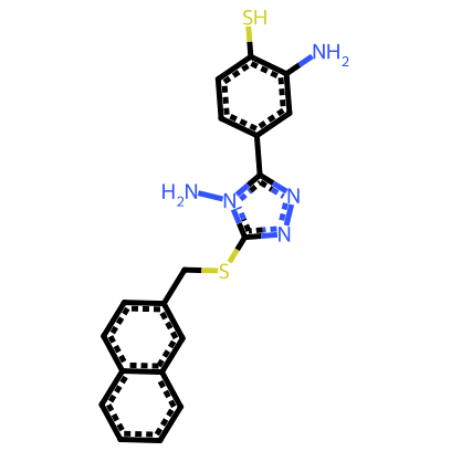 Nc1cc(-c2nnc(SCc3ccc4ccccc4c3)n2N)ccc1S